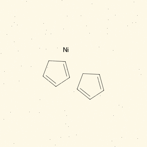 C1=CCC=C1.C1=CCC=C1.[Ni]